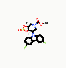 CC(C)(C)OC(=O)N1CC(n2c3ccc(F)cc3c3cc(F)ccc32)[C@H]2OS(=O)O[C@H]2C1